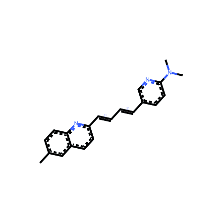 Cc1ccc2nc(/C=C/C=C/c3ccc(N(C)C)nc3)ccc2c1